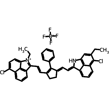 CCc1cc2[nH]c(=CC=C3CCC(C=CC4=[N+](CC)c5ccc(Cl)c6cccc4c56)=C3c3ccccc3)c3cccc(c1Cl)c23.F[B-](F)(F)F